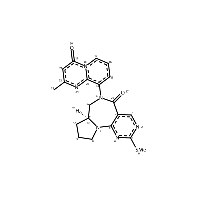 CSc1ncc2c(n1)N1CCC[C@H]1CN(c1cccn3c(=O)cc(C)nc13)C2=O